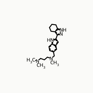 CN(C)CCCN(C)Cc1ccc2[nH]c(-c3n[nH]c4c3CCCC4)cc2c1